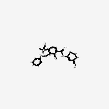 CS(=O)(=O)c1ccc(C(=O)OC2=CC(=O)CCC2)c(Cl)c1COc1ccccc1